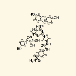 CCc1cc([C@H]2O[C@@H](n3cnc4c(NCC(c5ccc(O)cc5)c5ccc(O)cc5)nc(N5CC[C@@H](NC(=O)Nc6ccc(S(N)(=O)=O)cc6)C5)nc43)[C@H](O)[C@@H]2O)on1